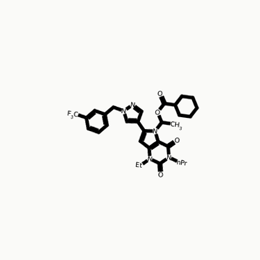 CCCn1c(=O)c2c(cc(-c3cnn(Cc4cccc(C(F)(F)F)c4)c3)n2C(C)OC(=O)C2CCCCC2)n(CC)c1=O